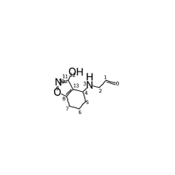 C=CCNC1CCCc2onc(O)c21